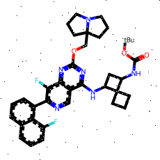 CC(C)(C)OC(=O)NC1CC(Nc2nc(OCC34CCCN3CCC4)nc3c(F)c(-c4cccc5cccc(F)c45)ncc23)C12CCC2